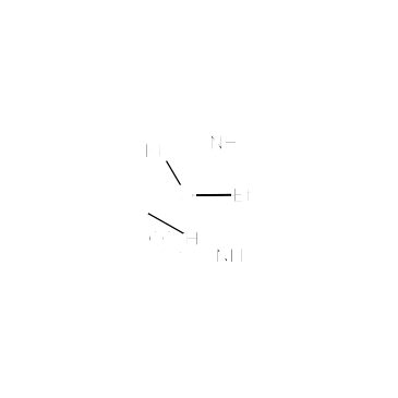 CC(=O)O.CCOCC.N.N